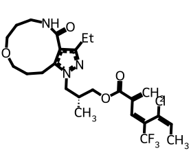 C=C(/C=C(\C(Cl)=C/C)C(F)(F)F)C(=O)OC[C@H](C)Cn1nc(CC)c2c1CCCOCCCNC2=O